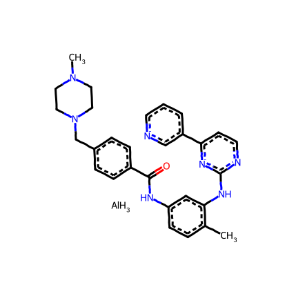 Cc1ccc(NC(=O)c2ccc(CN3CCN(C)CC3)cc2)cc1Nc1nccc(-c2cccnc2)n1.[AlH3]